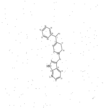 CC(C1=CCN(Cc2c[nH]c3ncccc23)CC1)c1ccccc1